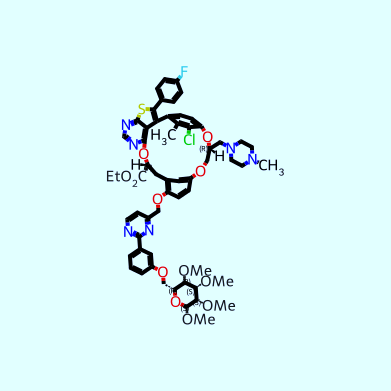 CCOC(=O)[C@H]1Cc2cc(ccc2OCc2ccnc(-c3cccc(OC[C@H]4O[C@H](OC)[C@@H](OC)[C@@H](OC)[C@@H]4OC)c3)n2)OC[C@@H](CN2CCN(C)CC2)Oc2ccc(c(C)c2Cl)-c2c(-c3ccc(F)cc3)sc3ncnc(c23)O1